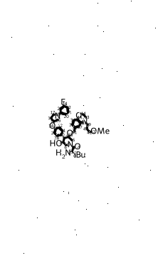 CC[C@H](C)[C@H](N)C(=O)N1C[C@@H](O)[C@H](c2ccc(O[C@H]3CCN(c4cccc(F)c4)C3)cc2)[C@@H](OCc2ccc3c(c2)N(CCCOC)CCO3)C1